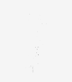 c1ccc(Oc2ccc(-c3ccn([C@@H]4CCCNC4)n3)cc2)cc1